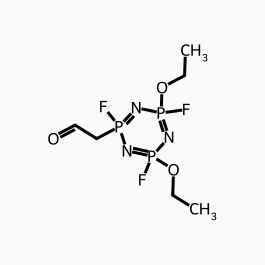 CCOP1(F)=NP(F)(CC=O)=NP(F)(OCC)=N1